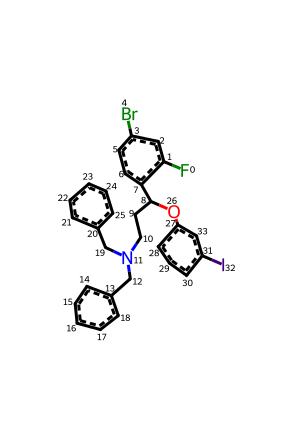 Fc1cc(Br)ccc1C(CCN(Cc1ccccc1)Cc1ccccc1)Oc1cccc(I)c1